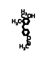 COCOc1ccc(Cc2ccc(O)c(C)c2C)cc1